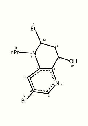 CCCN1c2cc(Br)cnc2C(O)CC1CC